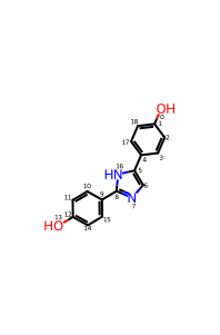 Oc1ccc(-c2cnc(-c3ccc(O)cc3)[nH]2)cc1